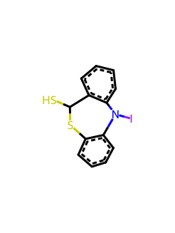 SC1Sc2ccccc2N(I)c2ccccc21